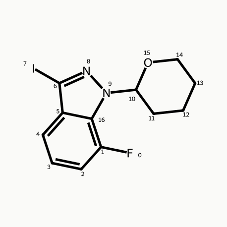 Fc1cccc2c(I)nn(C3CCCCO3)c12